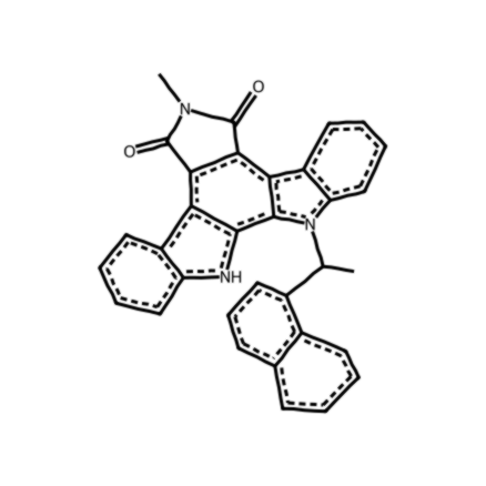 CC(c1cccc2ccccc12)n1c2ccccc2c2c3c(c4c5ccccc5[nH]c4c21)C(=O)N(C)C3=O